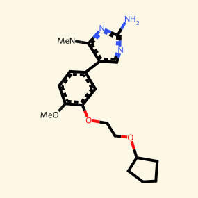 CNc1nc(N)ncc1-c1ccc(OC)c(OCCOC2CCCC2)c1